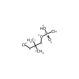 CC(C)(CCl)COP(=O)(O)Cl